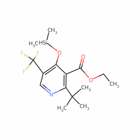 CCOC(=O)c1c(C(C)(C)C)ncc(C(F)(F)F)c1O[SiH](C)C